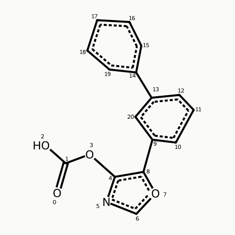 O=C(O)Oc1ncoc1-c1cccc(-c2ccccc2)c1